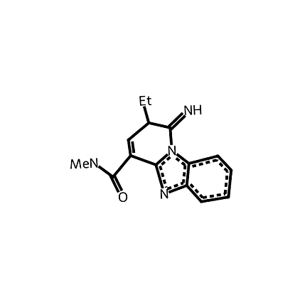 CCC1C=C(C(=O)NC)c2nc3ccccc3n2C1=N